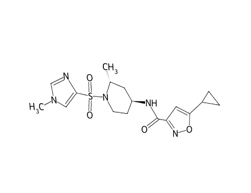 C[C@@H]1C[C@@H](NC(=O)c2cc(C3CC3)on2)CCN1S(=O)(=O)c1cn(C)cn1